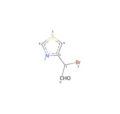 O=CC(Br)c1cscn1